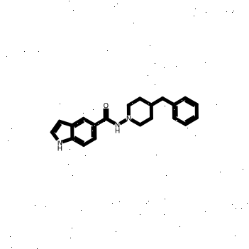 O=C(NN1CCC(Cc2ccccc2)CC1)c1ccc2[nH]ccc2c1